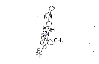 Cc1ccc(COCCC(F)(F)F)c(N2C(=O)CS/C2=N\C(=O)Nc2ccc(-c3ncn(-c4ccccc4)n3)cc2F)c1